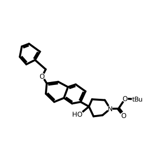 CC(C)(C)OC(=O)N1CCC(O)(c2ccc3cc(OCc4ccccc4)ccc3c2)CC1